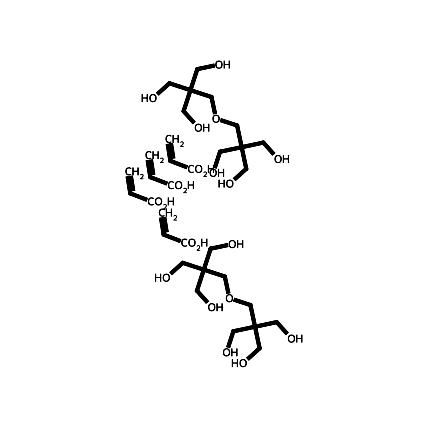 C=CC(=O)O.C=CC(=O)O.C=CC(=O)O.C=CC(=O)O.OCC(CO)(CO)COCC(CO)(CO)CO.OCC(CO)(CO)COCC(CO)(CO)CO